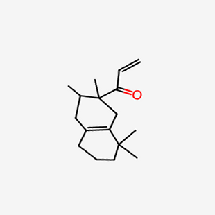 C=CC(=O)C1(C)CC2=C(CCCC2(C)C)CC1C